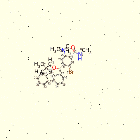 CNC(=O)c1cc(Br)c(CO[Si](c2ccccc2)(c2ccccc2)C(C)(C)C)cc1N(C)C